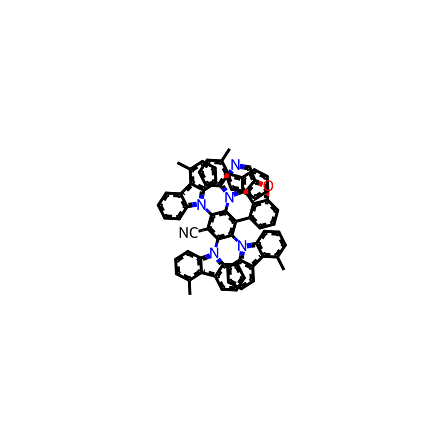 Cc1cccc2c1c1ccccc1n2-c1c(C#N)c(-n2c3ccccc3c3c(C)cccc32)c(-n2c3ccccc3c3c(C)cccc32)c(-c2cccc3oc4cnccc4c23)c1-n1c2ccccc2c2c(C)cccc21